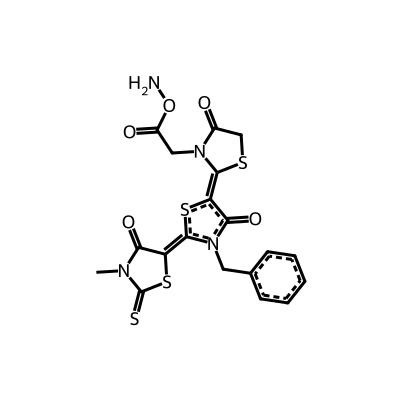 CN1C(=O)/C(=c2\s/c(=C3/SCC(=O)N3CC(=O)ON)c(=O)n2Cc2ccccc2)SC1=S